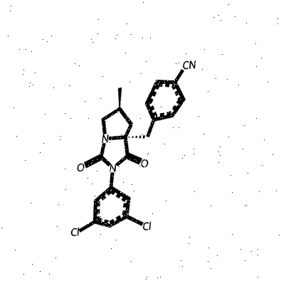 C[C@@H]1CN2C(=O)N(c3cc(Cl)cc(Cl)c3)C(=O)[C@]2(Cc2ccc(C#N)cc2)C1